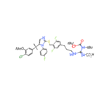 COc1cc(C(C)(C)c2cnc(SCc3c(F)cc(CCCNC(=NC(=O)O)N(C(=O)OC(C)(C)C)C(C)(C)C)cc3F)n2-c2ccc(F)cc2)ccc1Cl